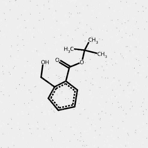 CC(C)(C)OC(=O)c1ccccc1CO